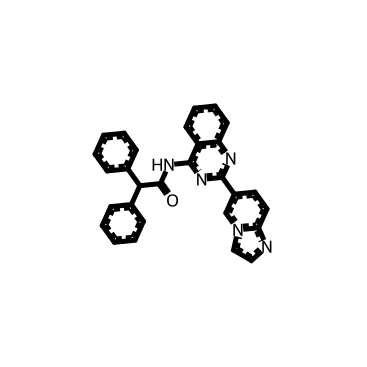 O=C(Nc1nc(-c2ccc3nccn3c2)nc2ccccc12)C(c1ccccc1)c1ccccc1